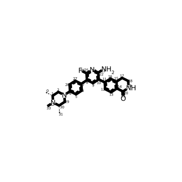 C[C@@H]1CN(c2ccc(-c3cc(-c4ccc5c(c4)CCNC5=O)c(N)nc3F)cc2)C[C@H](C)N1C